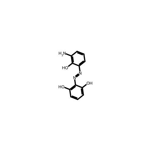 Nc1cccc(N=Nc2c(O)cccc2O)c1O